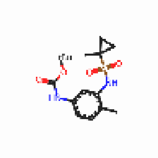 Cc1ccc(NC(=O)OC(C)(C)C)cc1NS(=O)(=O)C1(C)CC1